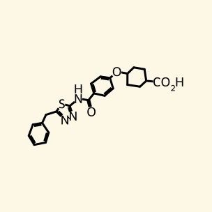 O=C(Nc1nnc(Cc2ccccc2)s1)c1ccc(OC2CCC(C(=O)O)CC2)cc1